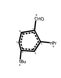 CCCc1cc(C(C)(C)C)ccc1C=O